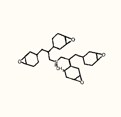 C[SiH](CC(CC1CCC2OC2C1)C1CCC2OC2C1)CC(CC1CCC2OC2C1)C1CCC2OC2C1